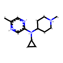 Cc1cnc(N(C2CC2)C2CCN(C)CC2)cn1